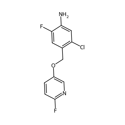 Nc1cc(Cl)c(COc2ccc(F)nc2)cc1F